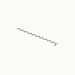 CCCCCCCCCCC[CH]CCCCCCCCC(C)C